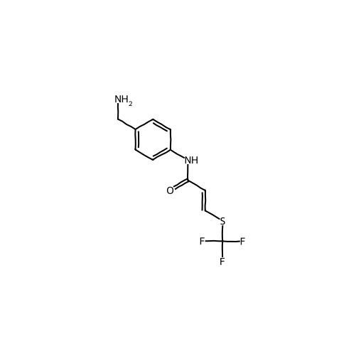 NCc1ccc(NC(=O)C=CSC(F)(F)F)cc1